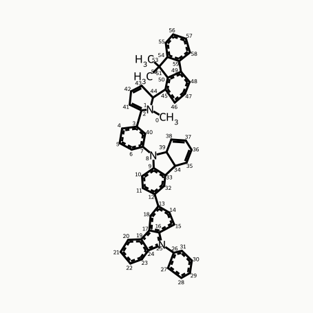 CN1C(c2cccc(N3c4ccc(-c5ccc6c(c5)c5ccccc5n6-c5ccccc5)cc4C4C=CC=CC43)c2)=CC=CC1c1cccc2c1C(C)(C)c1ccccc1-2